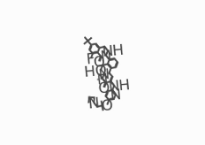 Cn1nc(-c2cccc(N3NCc4cc(C(C)(C)C)cc(F)c4C3=O)c2CO)cc(Nc2ccc(OC(C)(C)CN3CCC3)cn2)c1=O